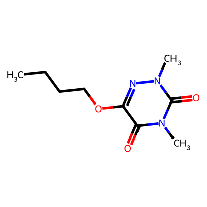 CCCCOc1nn(C)c(=O)n(C)c1=O